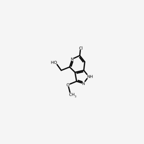 COc1n[nH]c2cc(Cl)nc(CO)c12